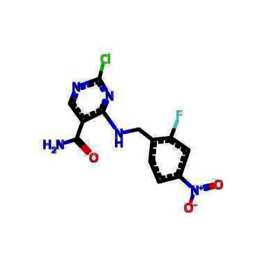 NC(=O)c1cnc(Cl)nc1NCc1ccc([N+](=O)[O-])cc1F